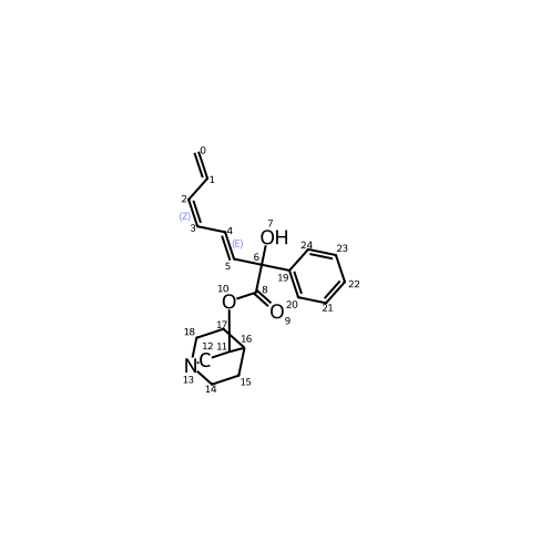 C=C/C=C\C=C\C(O)(C(=O)OC1CN2CCC1CC2)c1ccccc1